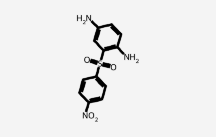 Nc1ccc(N)c(S(=O)(=O)c2ccc([N+](=O)[O-])cc2)c1